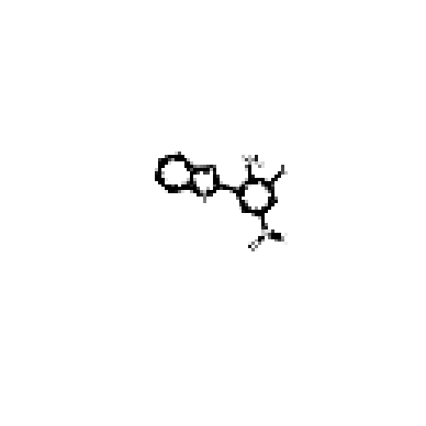 Nc1c(Br)cc([N+](=O)[O-])cc1-c1nc2ccccc2s1